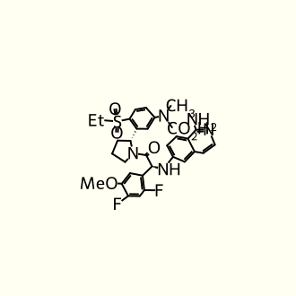 CCS(=O)(=O)c1ccc(N(C)C(=O)O)cc1[C@H]1CCCN1C(=O)[C@@H](Nc1ccc2c(N)nccc2c1)c1cc(OC)c(F)cc1F